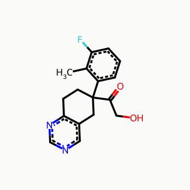 Cc1c(F)cccc1C1(C(=O)CO)CCc2ncncc2C1